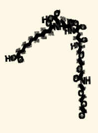 O=[C]COCCOCCNC(=O)COCCOCCNC(=O)CC[C@H](NC(=O)CC[C@H](NC(=O)CCCCCCCCCCC(=O)O)C(=O)O)C(=O)O